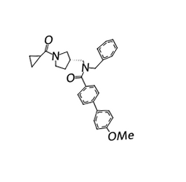 COc1ccc(-c2ccc(C(=O)N(Cc3ccccc3)C[C@@H]3CCN(C(=O)C4CC4)C3)cc2)cc1